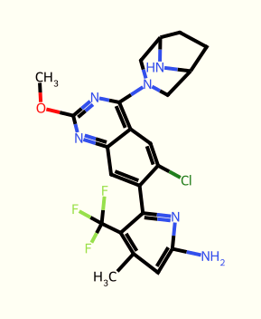 COc1nc(N2CC3CCC(C2)N3)c2cc(Cl)c(-c3nc(N)cc(C)c3C(F)(F)F)cc2n1